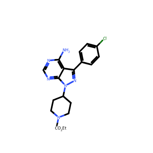 CCOC(=O)N1CCC(n2nc(-c3ccc(Cl)cc3)c3c(N)ncnc32)CC1